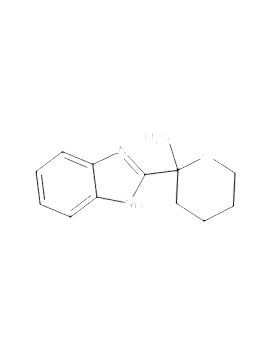 [SiH3]C1(c2nc3ccccc3[nH]2)CCCCO1